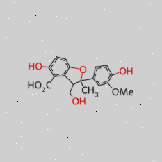 COc1cc(C2(C)Oc3ccc(O)c(C(=O)O)c3C2CO)ccc1O